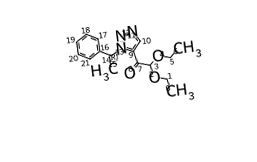 CCOC(OCC)C(=O)c1cnnn1[C@H](C)c1ccccc1